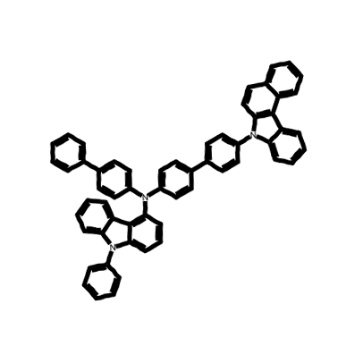 c1ccc(-c2ccc(N(c3ccc(-c4ccc(-n5c6ccccc6c6c7ccccc7ccc65)cc4)cc3)c3cccc4c3c3ccccc3n4-c3ccccc3)cc2)cc1